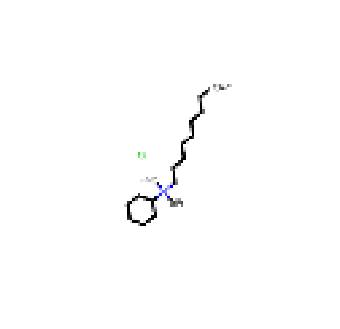 CCCCCCCCCCCCCCCCCC[N+](CCC)(CCC)C1CCCCC1.[Cl-]